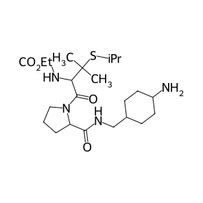 CCOC(=O)NC(C(=O)N1CCCC1C(=O)NCC1CCC(N)CC1)C(C)(C)SC(C)C